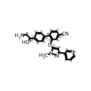 Cn1nc(-c2cccnc2)cc1Oc1cc(C#N)ccc1-c1ccc(C(O)CN)cc1